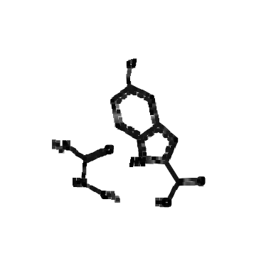 CNC(N)=O.O=C(O)c1cc2cc(Cl)ccc2[nH]1